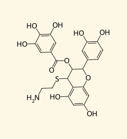 NCCSC1c2c(O)cc(O)cc2OC(c2ccc(O)c(O)c2)C1OC(=O)c1cc(O)c(O)c(O)c1